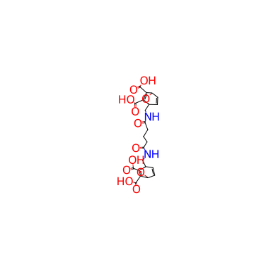 O=C(CCCC(=O)NCC12C=CC(O1)C(C(=O)O)=C2C(=O)O)NCC12C=CC(O1)C(C(=O)O)=C2C(=O)O